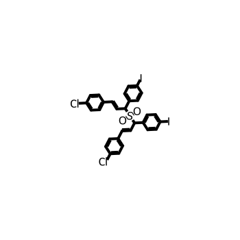 O=S(=O)(C(C=Cc1ccc(Cl)cc1)c1ccc(I)cc1)C(C=Cc1ccc(Cl)cc1)c1ccc(I)cc1